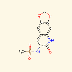 O=c1[nH]c2cc3c(cc2cc1NS(=O)(=O)C(F)(F)F)OCO3